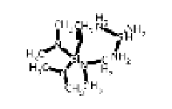 C=C[Si](N(C)C)(N(C)C)N(C)C.N[SiH](N)N